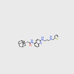 O=C(CC12CC3CC(CC(C3)C1)C2)Nc1cccc2nc(NCCCNCc3cccs3)ccc12